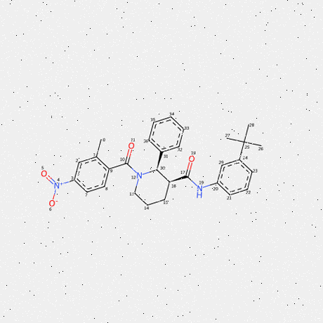 Cc1cc([N+](=O)[O-])ccc1C(=O)N1CCC[C@H](C(=O)Nc2cccc(C(C)(C)C)c2)[C@@H]1c1ccccc1